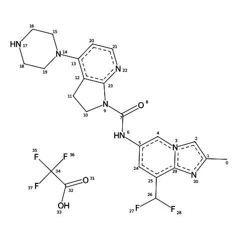 Cc1cn2cc(NC(=O)N3CCc4c(N5CCNCC5)ccnc43)cc(C(F)F)c2n1.O=C(O)C(F)(F)F